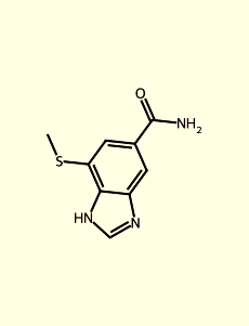 CSc1cc(C(N)=O)cc2nc[nH]c12